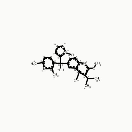 COc1nc2ccc([C@](O)(c3ccc(C)nc3C)c3cnnn3C)cc2c(Cl)c1C(C)C